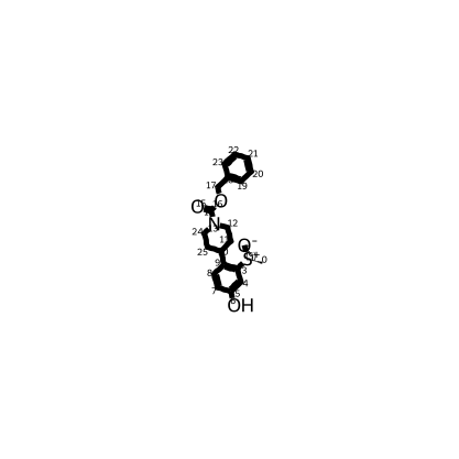 C[S@@+]([O-])c1cc(O)ccc1C1CCN(C(=O)OCc2ccccc2)CC1